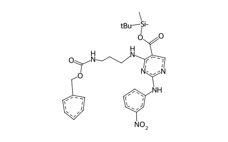 CC(C)(C)[Si](C)(C)OC(=O)c1cnc(Nc2cccc([N+](=O)[O-])c2)nc1NCCCNC(=O)OCc1ccccc1